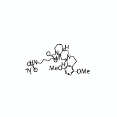 COc1ccc(OC)c2c1CCN1C[C@@H]3CCCN(S(=O)(=O)CCCNS(=O)(=O)N(C)C)[C@@H]3C[C@@H]21